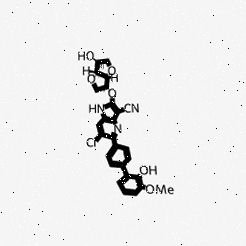 COc1cccc(-c2ccc(-c3nc4c(C#N)c(O[C@@H]5CO[C@H]6[C@@H]5OC[C@H]6O)[nH]c4cc3Cl)cc2)c1O